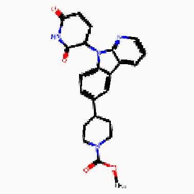 CC(C)(C)OC(=O)N1CCC(c2ccc3c(c2)c2cccnc2n3C2CCC(=O)NC2=O)CC1